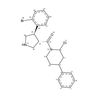 CCC1CC(c2ccccc2)CCN1C(=O)[C@@H]1CNC[C@H]1c1ccccc1Br